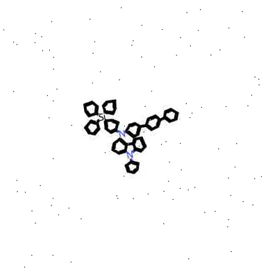 c1ccc(-c2ccc(-c3ccc(N(c4ccc([Si](c5ccccc5)(c5ccccc5)c5ccccc5)cc4)c4cccc5c4c4ccccc4n5-c4ccccc4)cc3)cc2)cc1